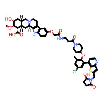 CO[C@@H]1[C@@H](C(=O)O)[C@H]2C[C@@H]3c4[nH]c5ccc(OCC(=O)NCCC(=O)N6CCC(Oc7c(C)cc(Cl)cc7-c7ccnc8cc(CN9C(=O)CCC9O)sc78)CC6)cc5c4CCN3C[C@H]2C[C@H]1O